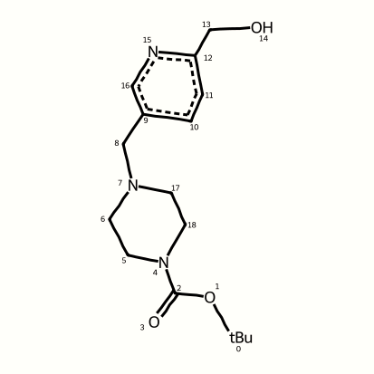 CC(C)(C)OC(=O)N1CCN(Cc2ccc(CO)nc2)CC1